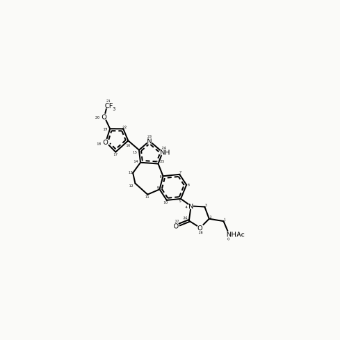 CC(=O)NCC1CN(c2ccc3c(c2)CCCc2c(-c4coc(OC(F)(F)F)c4)n[nH]c2-3)C(=O)O1